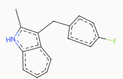 Cc1[nH]c2c[c]ccc2c1Cc1ccc(F)cc1